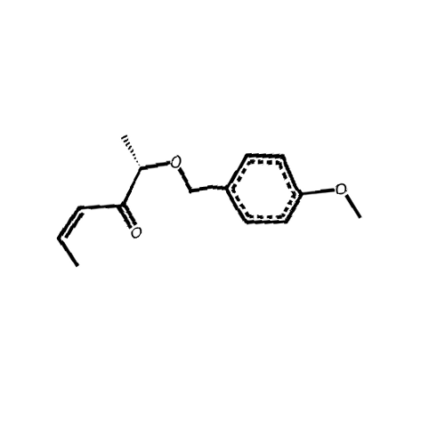 C/C=C\C(=O)[C@H](C)OCc1ccc(OC)cc1